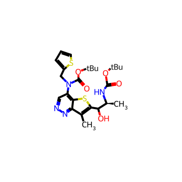 Cc1c(C(O)[C@H](C)NC(=O)OC(C)(C)C)sc2c(N(Cc3cccs3)C(=O)OC(C)(C)C)cnnc12